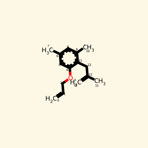 C=CCOc1cc(C)cc(C)c1CC(=C)C